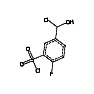 O=S(=O)(Cl)c1cc(C(O)Cl)ccc1F